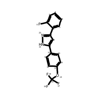 Fc1ccccc1-c1cc(-c2ccc(OC(F)(F)F)cc2)[nH]n1